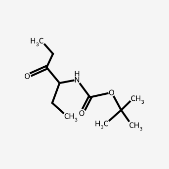 CCC(=O)C(CC)NC(=O)OC(C)(C)C